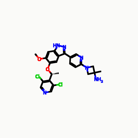 COc1cc2[nH]nc(-c3ccc(N4CC(C)(N)C4)nc3)c2cc1O[C@H](C)c1c(Cl)cncc1Cl